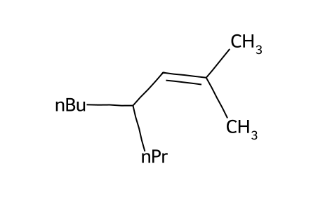 CCCCC(C=C(C)C)CCC